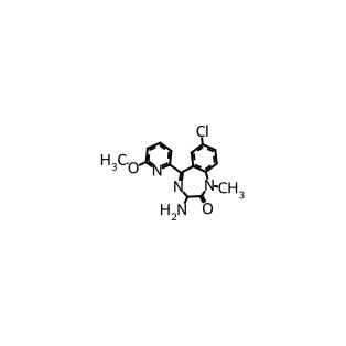 COc1cccc(C2=NC(N)C(=O)N(C)c3ccc(Cl)cc32)n1